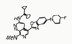 CNc1ncc(-c2nc3cc(N4CCC(F)CC4)ccc3o2)c2cc(NC(=O)C3CC3)nnc12